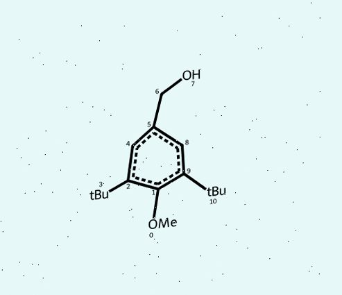 COc1c(C(C)(C)C)cc(CO)cc1C(C)(C)C